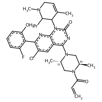 C=CC(=O)N1C[C@H](C)N(c2nc(=O)n(C3C(C)=CCN(C)C3C(C)C)c3nc(-c4c(O)cccc4F)c(Cl)cc23)C[C@H]1C